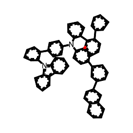 c1ccc(-c2ccccc2-c2ccccc2N(c2ccc(-c3cccc(-c4ccc5ccccc5c4)c3)cc2)c2ccc(-c3ccccc3-n3c4ccccc4c4ccccc43)cc2)cc1